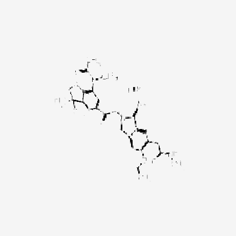 Br.CCOc1cc2c(cc1CC(=O)NC)C(=N)N(CC(=O)c1cc(N(C)C(C)=O)c3c(c1)C(C)(C)CO3)C2